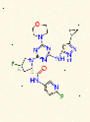 O=C(Nc1ccc(F)nc1)[C@@H]1C[C@@H](F)CN1c1nc(Nc2cc(C3CC3)n[nH]2)nc(N2CCOCC2)n1